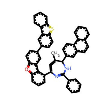 CC1=C=C(c2cccc3oc4ccc(-c5ccc6sc7ccccc7c6c5)cc4c23)N=C(c2ccccc2)NC1c1ccc2c(ccc3ccccc32)c1